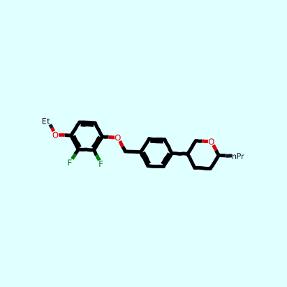 CCCC1CCC(c2ccc(COc3ccc(OCC)c(F)c3F)cc2)CO1